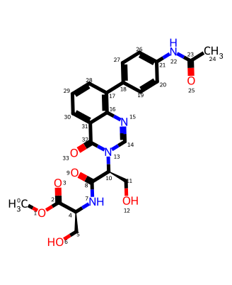 COC(=O)[C@H](CO)NC(=O)[C@H](CO)n1cnc2c(-c3ccc(NC(C)=O)cc3)cccc2c1=O